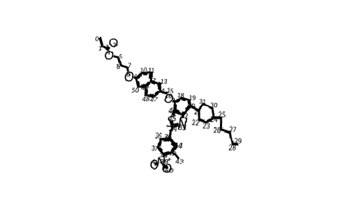 C=CC(=O)OCCCOc1ccc2cc(COc3ccc(C4CCC(CCCCC)CC4)c4nc(-c5ccc([N+](=O)[O-])c(C)c5)sc34)ccc2c1